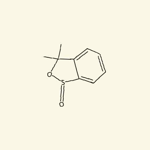 CC1(C)OS(=O)c2ccccc21